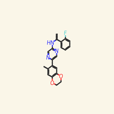 C=C(Nc1cnc(-c2cc3c(cc2C)OCCO3)cn1)c1ccccc1F